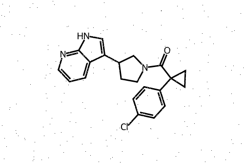 O=C(N1CCC(c2c[nH]c3ncccc23)C1)C1(c2ccc(Cl)cc2)CC1